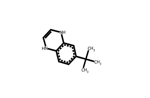 CC(C)(C)c1ccc2c(c1)NC=CN2